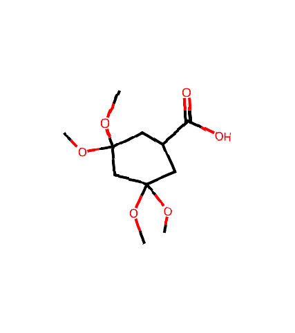 COC1(OC)CC(C(=O)O)CC(OC)(OC)C1